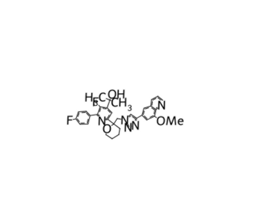 COc1cc(-c2cn(CC3(c4cc(C(C)(C)O)c(F)c(-c5ccc(F)cc5)n4)CCCCO3)nn2)cc2cccnc12